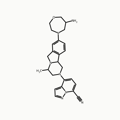 CC1CN(c2ccc(C#N)n3nccc23)CC2c3ccc(N4CCOCC(N)C4)cc3CN12